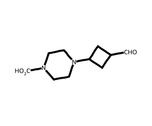 O=CC1CC(N2CCN(C(=O)O)CC2)C1